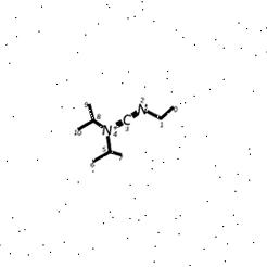 CCN=C=[N+](C(C)C)C(C)C